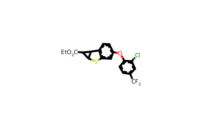 CCOC(=O)C1C2Sc3cc(Oc4ccc(C(F)(F)F)cc4Cl)ccc3C21